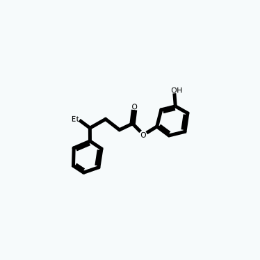 CCC(CCC(=O)Oc1cccc(O)c1)c1ccccc1